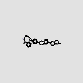 CC1C=c2ccc(-c3ccc4c(c3)=CCC(c3ccc(N5CCC/C=C\C(C)c6ccccc65)cc3)C=4)cc2=CC1